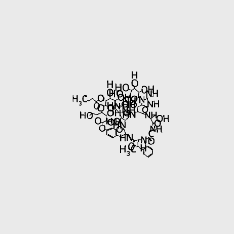 CCCC(=O)OC1C(OC2C(CO)OC(Oc3ccc(CC4NC(=O)C(C(C)c5ccccc5)NC(=O)CNC(=O)C(CO)NC(=O)C(C(O)C5CNC(=N)N5C5OC(CO)C(O)C(O)C5O)NC(=O)C(C(O)C5CNC(=N)N5)NC4=O)cc3)C(O)C2O)OC(CO)C(O)C1O